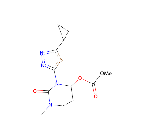 COC(=O)OC1CCN(C)C(=O)N1c1nnc(C2CC2)s1